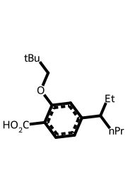 CCCC(CC)c1ccc(C(=O)O)c(OCC(C)(C)C)c1